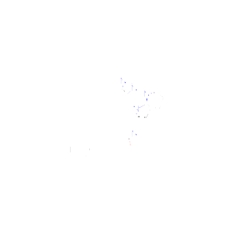 Cn1cncc1Cn1c2c(c3cccnc31)CCN(C(=O)CCCCC(=O)O)C2